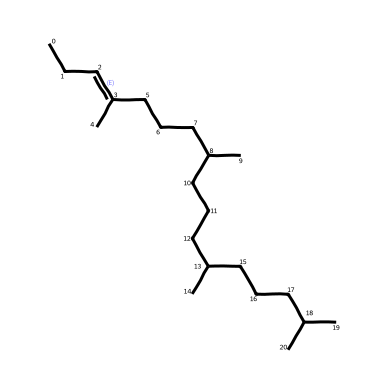 CC/C=C(\C)CCCC(C)CCCC(C)CCCC(C)C